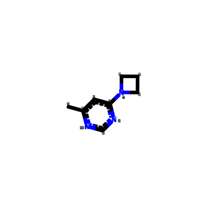 Cc1cc(N2CCC2)ncn1